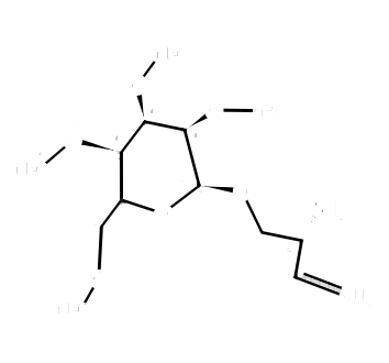 C=C[C@@H](N)CO[C@H]1OC(COCCCC)[C@@H](OCCCC)[C@@H](OCCCC)[C@H]1OCCCC